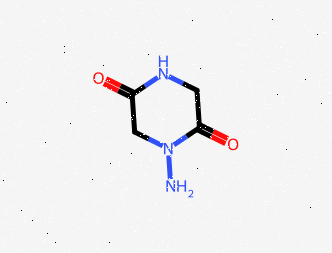 NN1CC(=O)NCC1=O